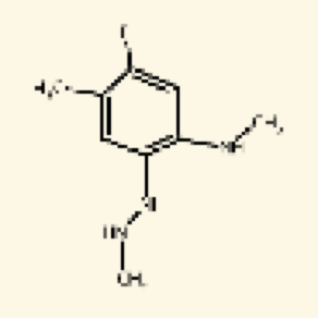 CNNc1cc(C)c(F)cc1NC